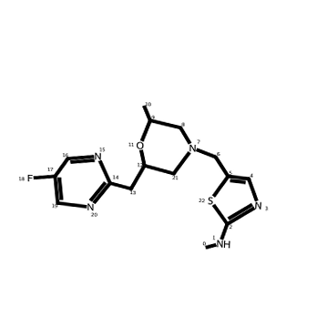 CNc1ncc(CN2CC(C)OC(Cc3ncc(F)cn3)C2)s1